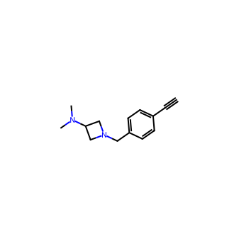 C#Cc1ccc(CN2CC(N(C)C)C2)cc1